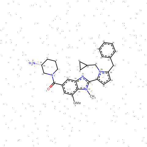 COc1cc(C(=O)N2CCC[C@@H](N)C2)cc2nc(-c3ccc(Cc4ccccc4)n3CC3CC3)n(C)c12